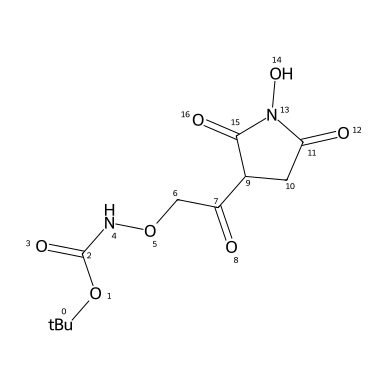 CC(C)(C)OC(=O)NOCC(=O)C1CC(=O)N(O)C1=O